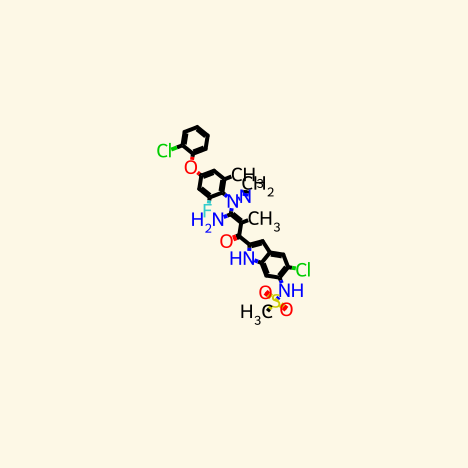 C=NN(/C(N)=C(\C)C(=O)c1cc2cc(Cl)c(NS(C)(=O)=O)cc2[nH]1)c1c(C)cc(Oc2ccccc2Cl)cc1F